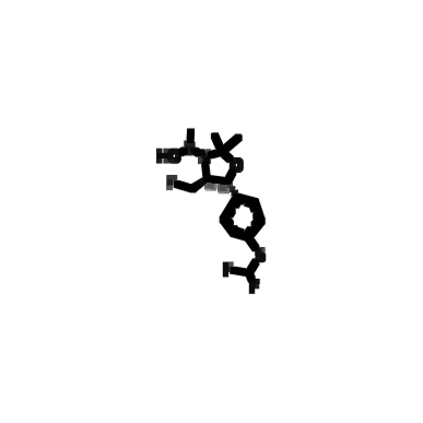 CB(O)N1[C@H](CF)[C@@H](c2ccc(SC(F)F)cc2)OC1(C)C